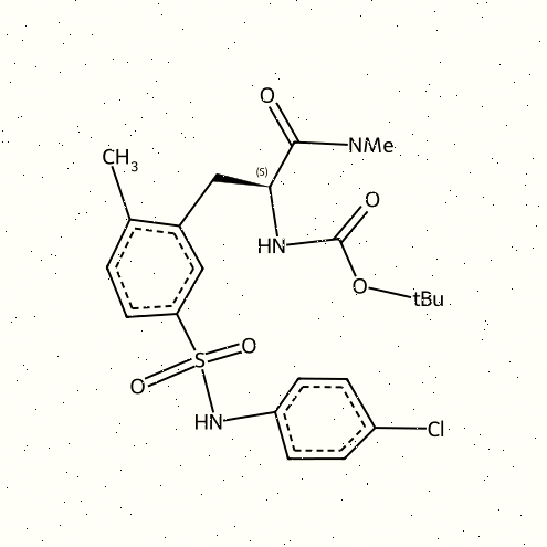 CNC(=O)[C@H](Cc1cc(S(=O)(=O)Nc2ccc(Cl)cc2)ccc1C)NC(=O)OC(C)(C)C